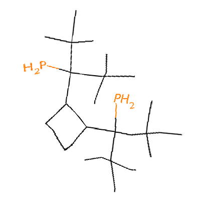 CC(C)(C)C(P)(C1CCC1C(P)(C(C)(C)C)C(C)(C)C)C(C)(C)C